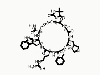 C[C@H]1NC(=O)[C@@H](N2C(=O)NC(C)(C)C2=O)CSSC[C@@H](C(N)=O)NC(=O)[C@H](Cc2c[nH]c3ccccc23)NC(=O)[C@H](CCCNC(=N)N)NC(=O)[C@@H](Cc2ccccc2)NC(=O)[C@H](CC2CN=CN2)NC1=O